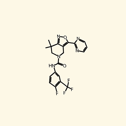 CC1(C)CN(C(=O)Nc2ccc(F)c(C(F)(F)F)c2)Cc2c1noc2-c1ncccn1